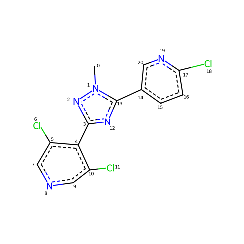 Cn1nc(-c2c(Cl)cncc2Cl)nc1-c1ccc(Cl)nc1